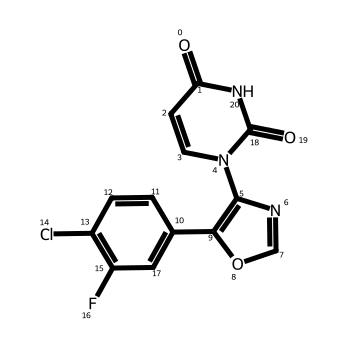 O=c1ccn(-c2ncoc2-c2ccc(Cl)c(F)c2)c(=O)[nH]1